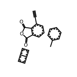 C#Cc1cccc2c1C(=O)OC2=O.Cc1ccccc1.c1cc2ccc1-2